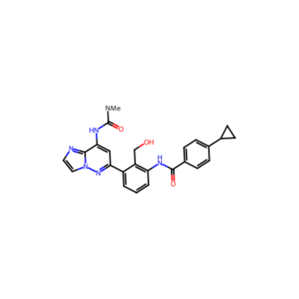 CNC(=O)Nc1cc(-c2cccc(NC(=O)c3ccc(C4CC4)cc3)c2CO)nn2ccnc12